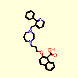 O=C(O)c1c(OCCCN2CCCN(Cc3cccnc3-c3ccccc3)CC2)ccc2ccccc12